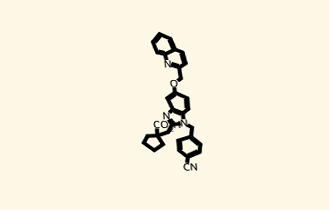 N#Cc1ccc(Cn2c(CC3(C(=O)O)CCCC3)nc3cc(OCc4ccc5ccccc5n4)ccc32)cc1